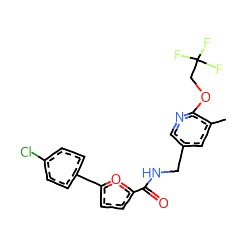 Cc1cc(CNC(=O)c2ccc(-c3ccc(Cl)cc3)o2)cnc1OCC(F)(F)F